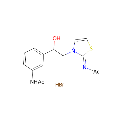 Br.CC(=O)N=c1sccn1CC(O)c1cccc(NC(C)=O)c1